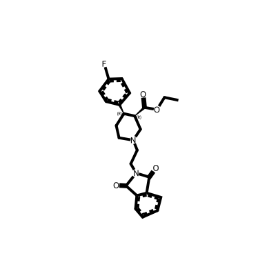 CCOC(=O)[C@H]1CN(CCN2C(=O)c3ccccc3C2=O)CC[C@H]1c1ccc(F)cc1